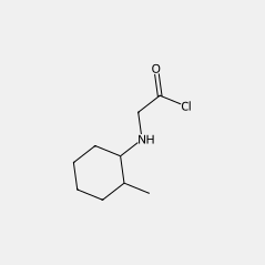 CC1CCCCC1NCC(=O)Cl